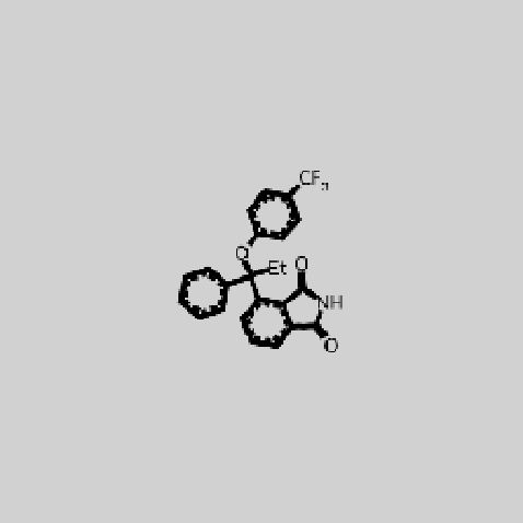 CCC(Oc1ccc(C(F)(F)F)cc1)(c1ccccc1)c1cccc2c1C(=O)NC2=O